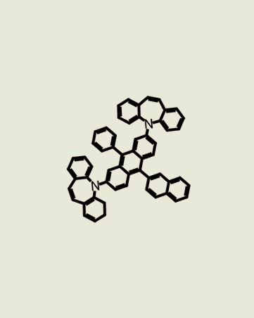 C1=CC2=C(CC1)N(c1ccc3c(-c4ccc5ccccc5c4)c4ccc(N5c6ccccc6C=Cc6ccccc65)cc4c(-c4ccccc4)c3c1)c1ccccc1C=C2